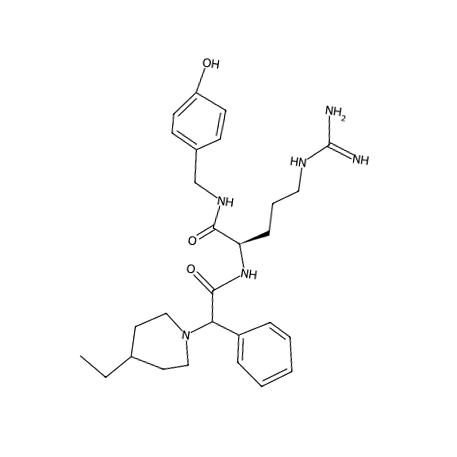 CCC1CCN(C(C(=O)N[C@H](CCCNC(=N)N)C(=O)NCc2ccc(O)cc2)c2ccccc2)CC1